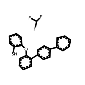 FC(F)F.Sc1ccccc1Oc1ccccc1-c1ccc(-c2ccccc2)cc1